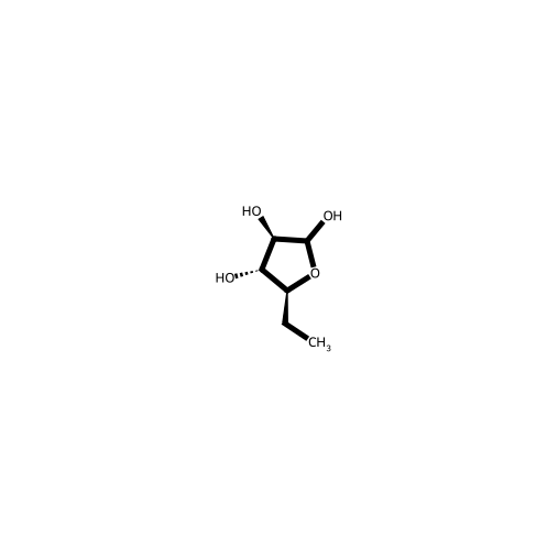 CC[C@@H]1OC(O)[C@H](O)[C@H]1O